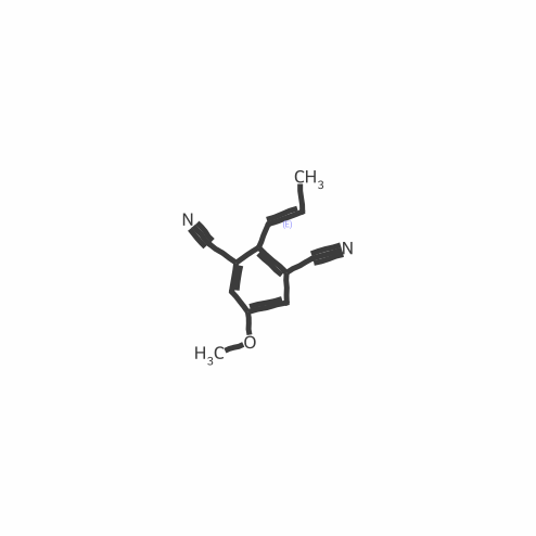 C/C=C/c1c(C#N)cc(OC)cc1C#N